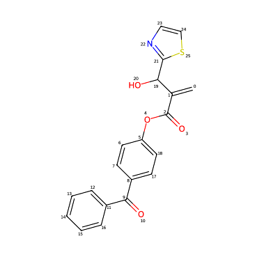 C=C(C(=O)Oc1ccc(C(=O)c2ccccc2)cc1)C(O)c1nccs1